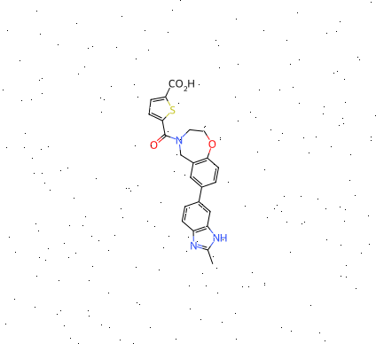 Cc1nc2ccc(-c3ccc4c(c3)CN(C(=O)c3ccc(C(=O)O)s3)CCO4)cc2[nH]1